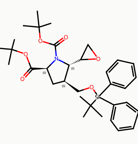 CC(C)(C)OC(=O)[C@@H]1C[C@H](CO[Si](c2ccccc2)(c2ccccc2)C(C)(C)C)[C@@H](C2CO2)N1C(=O)OC(C)(C)C